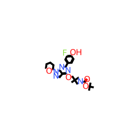 CC1(COc2nc(-c3ccc(O)c(F)c3)nc3c2cnn3C2CCCCO2)CN(C(=O)OC(C)(C)C)C1